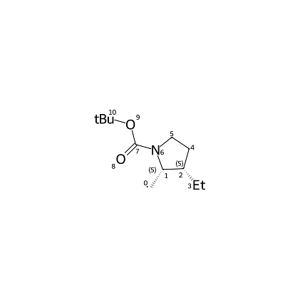 [CH2][C@H]1[C@@H](CC)CCN1C(=O)OC(C)(C)C